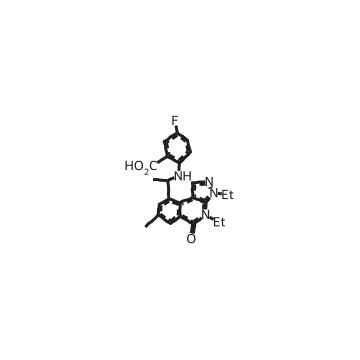 CCn1ncc2c3c(C(C)Nc4ccc(F)cc4C(=O)O)cc(C)cc3c(=O)n(CC)c21